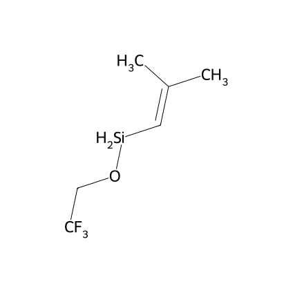 CC(C)=C[SiH2]OCC(F)(F)F